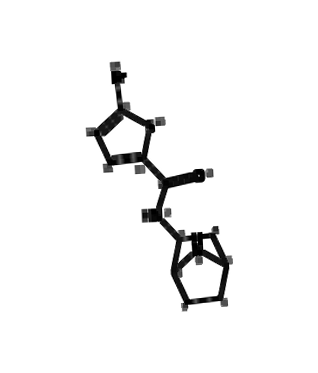 O=C(NC1CC2CCC1N2)c1ccc(Br)s1